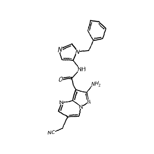 N#CCc1cnc2c(C(=O)Nc3cncn3Cc3ccccc3)c(N)nn2c1